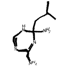 CC(C)CC1(N)N=C(N)N=CN1